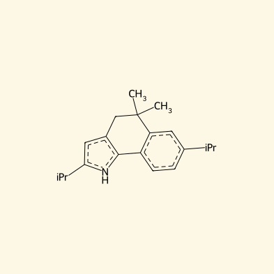 CC(C)c1ccc2c(c1)C(C)(C)Cc1cc(C(C)C)[nH]c1-2